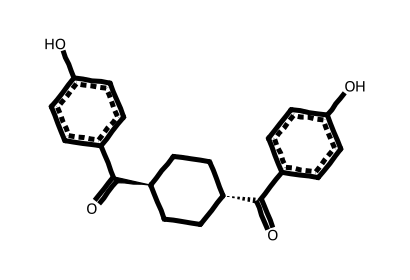 O=C(c1ccc(O)cc1)[C@H]1CC[C@H](C(=O)c2ccc(O)cc2)CC1